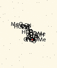 COC(=O)C(O)(c1cc2c(c3oc(C4(C)OC4C)cc(=O)c13)C(=O)c1c(ccc(C3CC(C)(N(C)C)C(OC4CC(OC)C(O)C(C)O4)C(C)O3)c1O)C2=O)C1CC(OC)C(O)C(C)O1